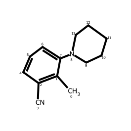 Cc1c(C#N)cccc1N1CCCCC1